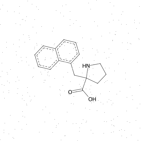 O=C(O)C1(Cc2cccc3ccccc23)CCCN1